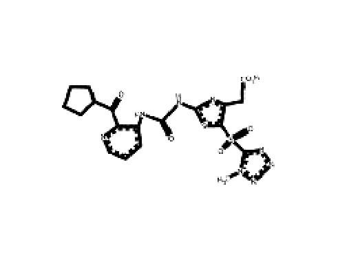 Cn1nnnc1S(=O)(=O)c1sc(NC(=O)Nc2cccnc2C(=O)C2CCCC2)nc1CC(=O)O